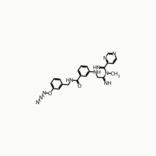 CN(C(=N)CNc1cccc(C(=O)NCc2cccc(ON=[N+]=[N-])c2)c1)C(=N)c1ccncn1